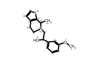 COc1cccc(C(O)CN2CCc3ccsc3C2C)c1